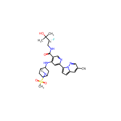 CC(C)(O)[C@H](F)CNC(=O)c1cnc(-c2ccc3cc(C#N)cnn23)cc1NC1CC2CCC1CN2S(C)(=O)=O